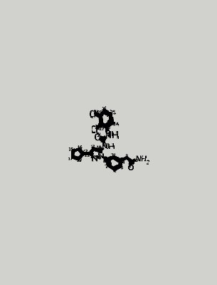 NC(=O)Cc1cccc(-n2nc(C3CCCC3)cc2NC(=O)Nc2cccc(Cl)c2Cl)c1